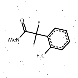 CNC(=O)C(F)(F)c1c[c]ccc1C(F)(F)F